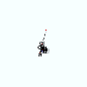 CCCCCCCCCCCCCCOC(=O)c1cc(Cl)c(-n2[nH]c(Nc3cc(Cl)ccc3Cl)c(/N=N/c3ccc(OC)cc3)c2=O)c(Cl)c1